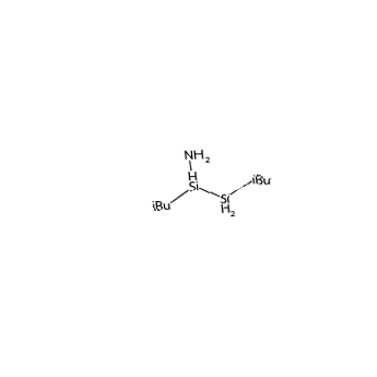 CCC(C)[SiH2][SiH](N)C(C)CC